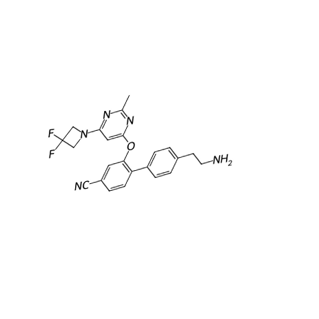 Cc1nc(Oc2cc(C#N)ccc2-c2ccc(CCN)cc2)cc(N2CC(F)(F)C2)n1